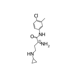 Cc1cc(NC(=O)[C@@H](N)CCNC2CC2)ccc1Cl